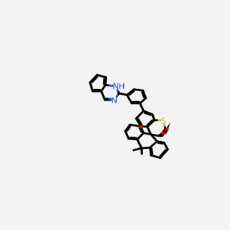 CC1(C)c2ccccc2C2(c3ccccc3Sc3cc(-c4cccc(C5N=Cc6ccccc6N5)c4)ccc32)c2ccccc21